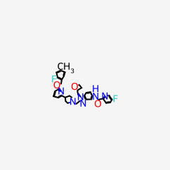 Cc1ccc(COc2cccc(C3CCN(Cc4nc5cc(NC(=O)c6ccc(F)cn6)ccc5n4CC4CCO4)CC3)n2)c(F)c1